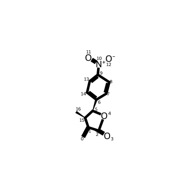 C=C1C(=O)O[C@H](c2ccc([N+](=O)[O-])cc2)[C@@H]1C